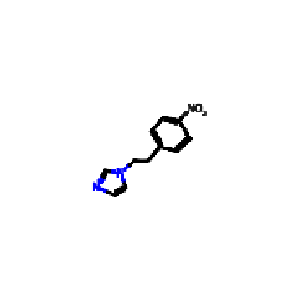 O=[N+]([O-])c1ccc(CCn2ccnc2)cc1